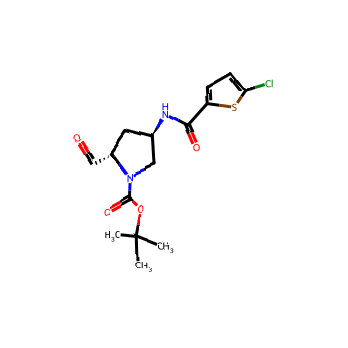 CC(C)(C)OC(=O)N1C[C@H](NC(=O)c2ccc(Cl)s2)C[C@H]1C=O